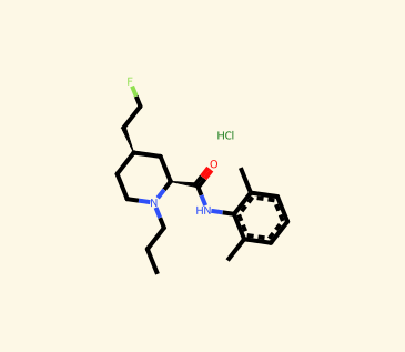 CCCN1CC[C@@H](CCF)C[C@H]1C(=O)Nc1c(C)cccc1C.Cl